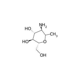 CC1O[C@H](CO)[C@@H](O)[C@H](O)[C@H]1N